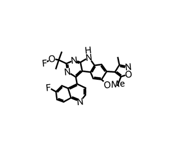 COc1cc2c(cc1-c1c(C)noc1C)[nH]c1nc(C(C)(C)OF)nc(-c3ccnc4ccc(F)cc34)c12